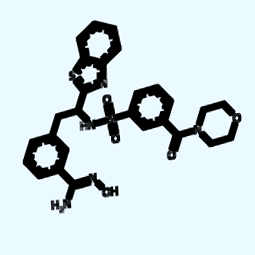 NC(=NO)c1cccc(CC(NS(=O)(=O)c2cccc(C(=O)N3CCOCC3)c2)c2nc3ccccc3s2)c1